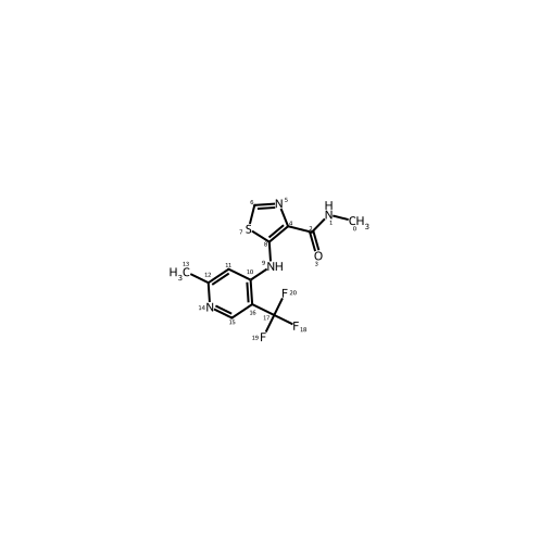 CNC(=O)c1ncsc1Nc1cc(C)ncc1C(F)(F)F